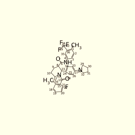 Cc1ccc(NC(=O)C2CCCN(C(=O)c3c(C)cccc3F)C2c2ccc(N3CCCC3)cc2)cc1C(F)(F)F